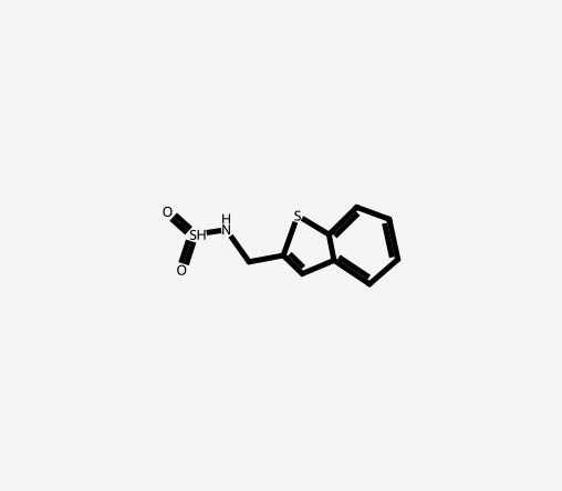 O=[SH](=O)NCc1cc2ccccc2s1